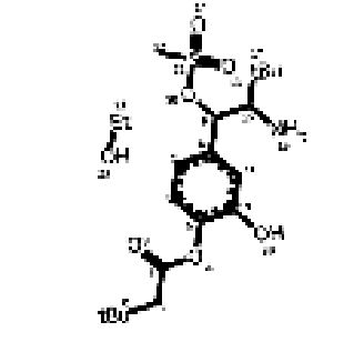 CC(C)(C)CC(=O)Oc1ccc(C(OS(C)(=O)=O)C(N)C(C)(C)C)cc1O.CCO